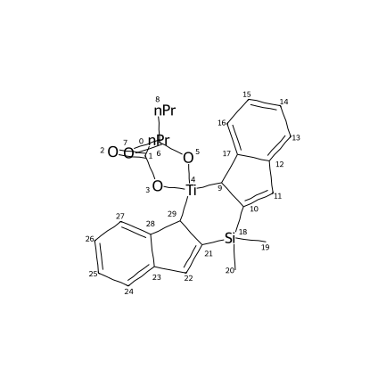 CCCC(=O)[O][Ti]1([O]C(=O)CCC)[CH]2C(=Cc3ccccc32)[Si](C)(C)C2=Cc3ccccc3[CH]21